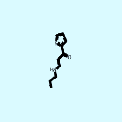 CCCNC=CC(=O)c1cccs1